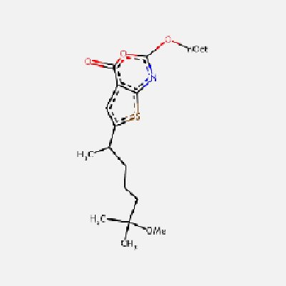 CCCCCCCCOc1nc2sc(C(C)CCCC(C)(C)OC)cc2c(=O)o1